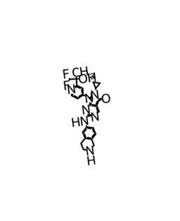 CC(O)(c1cc(-n2c3nc(Nc4ccc5c(c4)CCNC5)ncc3c(=O)n2C2CC2)ccn1)C(F)F